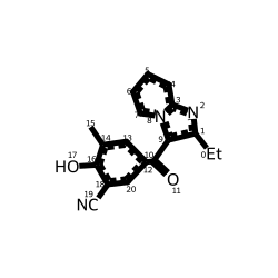 CCc1nc2ccccn2c1C(=O)c1cc(C)c(O)c(C#N)c1